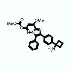 COC(=O)Oc1cc(OC)c2nc(-c3ccc(C4(N)CCC4)cc3)c(-c3ccccc3)n2n1